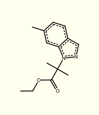 CCOC(=O)C(C)(C)n1ncc2ccc(C)cc21